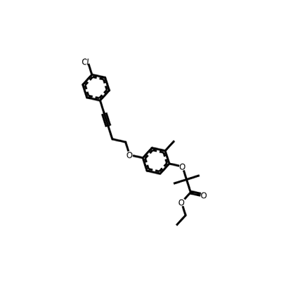 CCOC(=O)C(C)(C)Oc1ccc(OCCC#Cc2ccc(Cl)cc2)cc1C